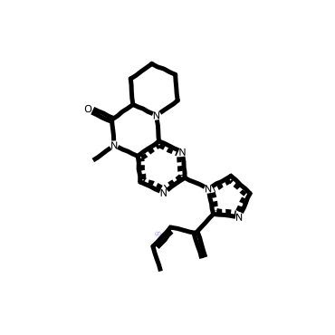 C=C(/C=C\C)c1nccn1-c1ncc2c(n1)N1CCCCC1C(=O)N2C